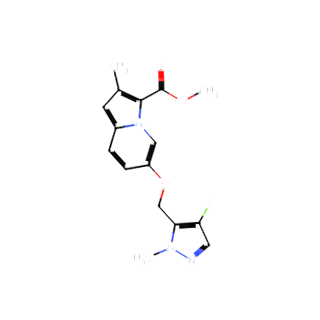 COC(=O)c1c(C)cc2ccc(OCc3c(F)cnn3C)cn12